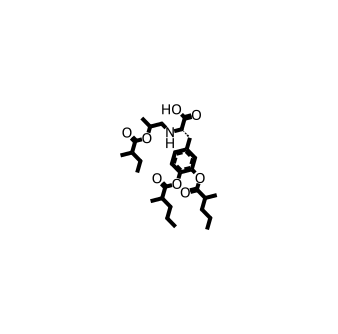 CCCC(C)C(=O)Oc1ccc(C[C@H](NCC(C)OC(=O)C(C)CC)C(=O)O)cc1OC(=O)C(C)CCC